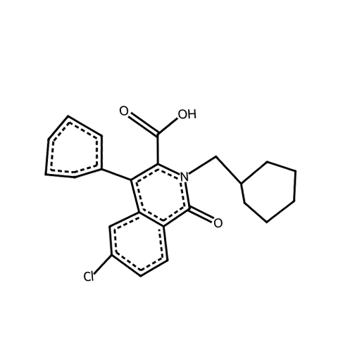 O=C(O)c1c(-c2ccccc2)c2cc(Cl)ccc2c(=O)n1CC1CCCCC1